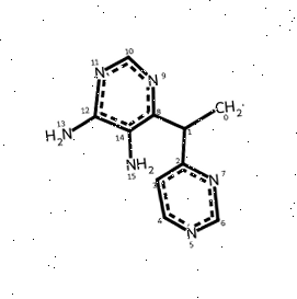 [CH2]C(c1ccncn1)c1ncnc(N)c1N